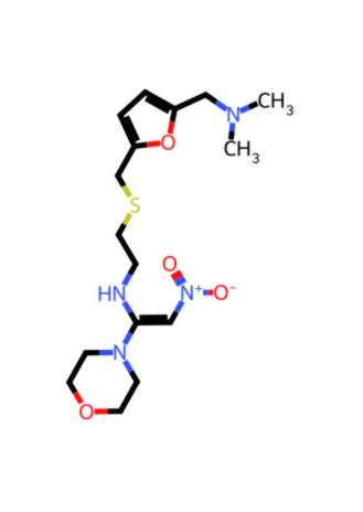 CN(C)Cc1ccc(CSCCNC(=C[N+](=O)[O-])N2CCOCC2)o1